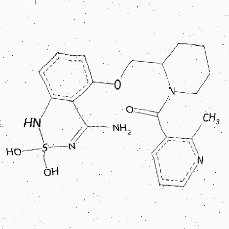 Cc1ncccc1C(=O)N1CCCCC1COc1cccc2c1C(N)=NS(O)(O)N2